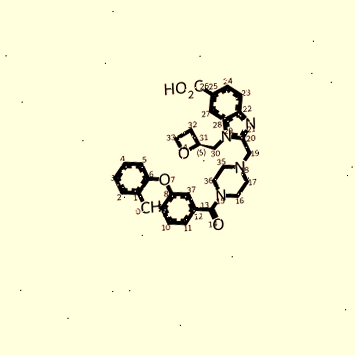 Cc1ccccc1Oc1cccc(C(=O)N2CCN(Cc3nc4ccc(C(=O)O)cc4n3C[C@@H]3CCO3)CC2)c1